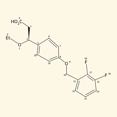 CCO[C@@H](CC(=O)O)c1ccc(OCc2cccc(F)c2F)cc1